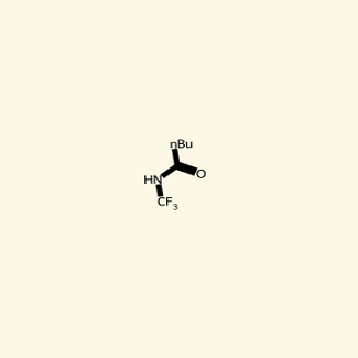 CCCCC(=O)NC(F)(F)F